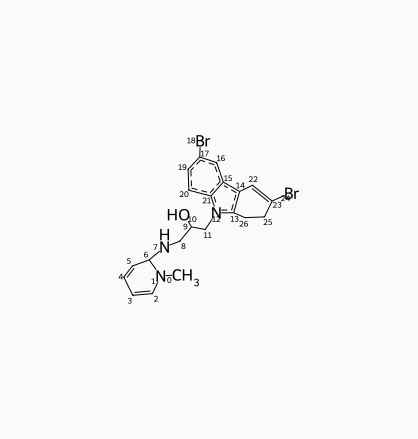 CN1C=CC=CC1NCC(O)Cn1c2c(c3cc(Br)ccc31)C=C(Br)CC2